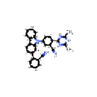 Cc1nc(C)nc(-c2ccc(-n3c4ccccc4c4ccc(-c5ccccc5C#N)cc43)cc2C#N)n1